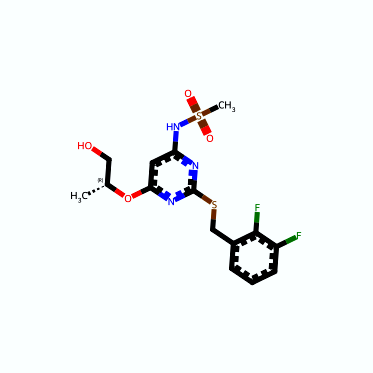 C[C@H](CO)Oc1cc(NS(C)(=O)=O)nc(SCc2cccc(F)c2F)n1